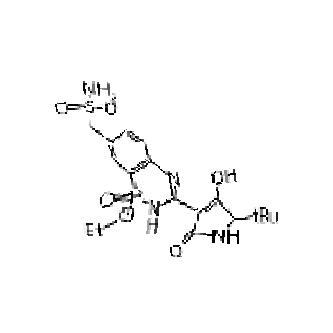 CCO[P@]1(=O)NC(C2=C(O)C(C(C)(C)C)NC2=O)=Nc2ccc(CS(N)(=O)=O)cc21